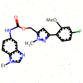 CCn1cnc2cc(NC(=O)OCc3cc(-c4ccc(F)cc4OC)nn3C)ccc21